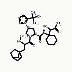 CC(C)(O)c1cnnn1[C@H]1C[C@@H](C(=O)NC2(C(O)C(N)=O)CCCCC2)N(C(=O)C(CC23CCC(CC2)C3)NC(=O)O)C1